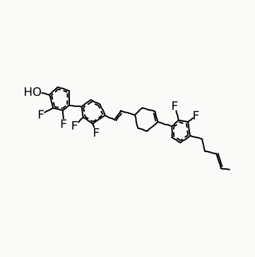 C/C=C/CCc1ccc(C2=CCC(/C=C/c3ccc(-c4ccc(O)c(F)c4F)c(F)c3F)CC2)c(F)c1F